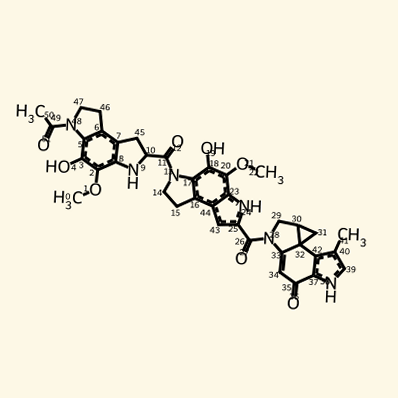 COc1c(O)c2c(c3c1NC(C(=O)N1CCc4c1c(O)c(OC)c1[nH]c(C(=O)N5CC6CC67C5=CC(=O)c5[nH]cc(C)c57)cc41)C3)CCN2C(C)=O